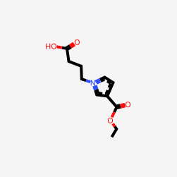 CCOC(=O)c1ccn(CCCC(=O)O)c1